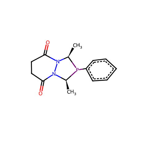 C[C@@H]1N2C(=O)CCC(=O)N2[C@H](C)P1c1ccccc1